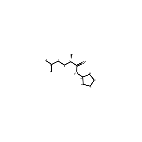 CC(C)CC[C@@H](C)C(=O)OC1CCCC1